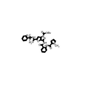 CC(C)COC(=O)n1nc(NC(=O)c2ccccc2NC(=O)c2cccn2C)c2oc(C(=O)NC(C)(C)c3ccccc3)cc21